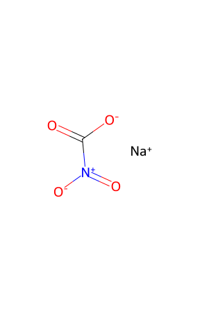 O=C([O-])[N+](=O)[O-].[Na+]